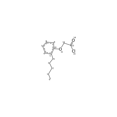 CCCCCc1ccccc1OCC(=O)Cl